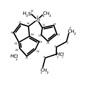 CCCCCC.Cl.Cl.[CH3][Zr]([SiH3])([C]1=CC=CC1)[CH]1C=Cc2ccccc21